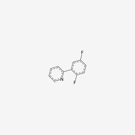 Fc1ccc(F)c(-c2ccc[c]n2)c1